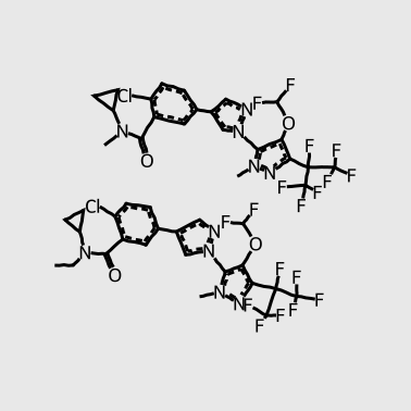 CCN(C(=O)c1cc(-c2cnn(-c3c(OC(F)F)c(C(F)(C(F)(F)F)C(F)(F)F)nn3C)c2)ccc1Cl)C1CC1.CN(C(=O)c1cc(-c2cnn(-c3c(OC(F)F)c(C(F)(C(F)(F)F)C(F)(F)F)nn3C)c2)ccc1Cl)C1CC1